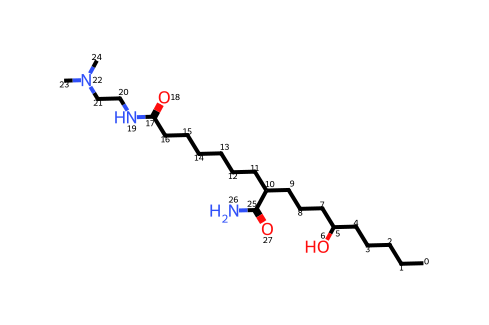 CCCCCC(O)CCCC(CCCCCCC(=O)NCCN(C)C)C(N)=O